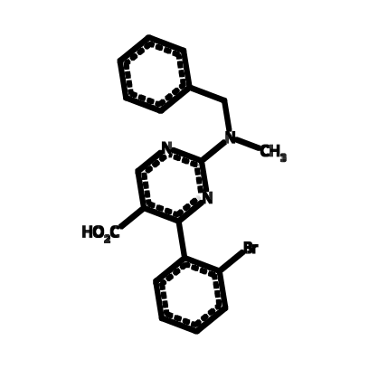 CN(Cc1ccccc1)c1ncc(C(=O)O)c(-c2ccccc2Br)n1